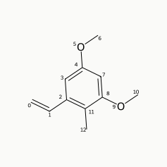 C=Cc1cc(OC)cc(OC)c1C